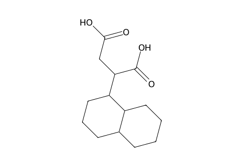 O=C(O)CC(C(=O)O)C1CCCC2CCCCC21